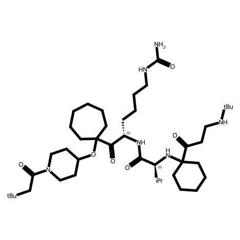 CC(C)[C@H](NC1(C(=O)CCNC(C)(C)C)CCCCC1)C(=O)N[C@@H](CCCCNC(N)=O)C(=O)C1(OC2CCN(C(=O)CC(C)(C)C)CC2)CCCCCC1